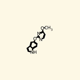 COc1ccnc(Oc2ccc3[nH]ccc3c2)n1